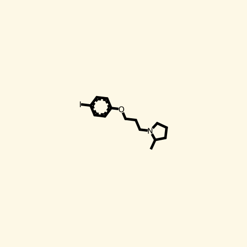 CC1CCCN1CCCOc1ccc(I)cc1